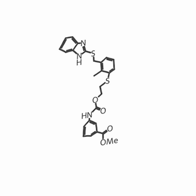 COC(=O)c1cccc(NC(=O)OCCSc2cccc(CSc3nc4ccccc4[nH]3)c2C)c1